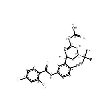 C[C@@]1(c2nc(NC(=O)c3ncc(Cl)cc3Cl)ccc2F)C[C@@H](C(F)(F)F)OC(NC(=O)O)=N1